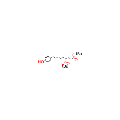 CC(C)(C)OC(=O)CCC(CCCCCc1ccc(O)cc1)C(=O)OC(C)(C)C